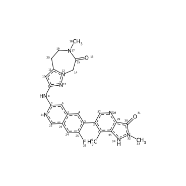 Cc1c(-c2cc3cc(Nc4cc5n(n4)CC(=O)N(C)CC5)ncc3cc2F)cnc2c(=O)n(C)[nH]c12